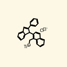 [Cl-].[Cl-].[Ti+2][O]Cc1c(C2C(c3ccccc3)=Cc3ccccc32)ccc2ccccc12